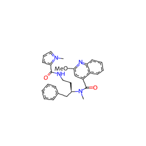 COc1cc(C(=O)N(C)[C@H](CCNC(=O)c2cccn2C)Cc2ccccc2)c2ccccc2n1